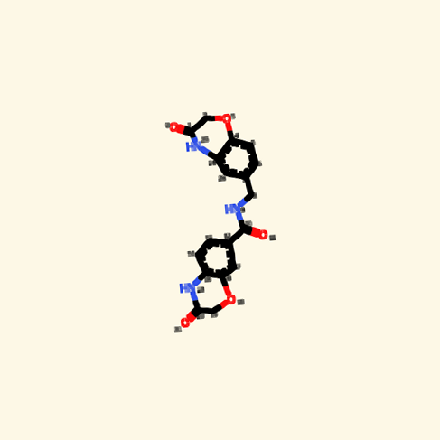 O=C1COc2ccc(CNC(=O)c3ccc4c(c3)OCC(=O)N4)cc2N1